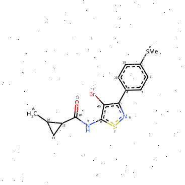 CSc1ccc(-c2nsc(NC(=O)C3CC3C)c2Br)cc1